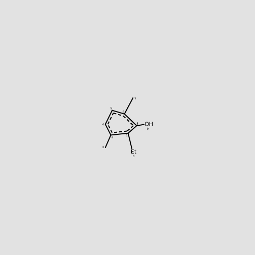 CCc1c(C)ccc(C)c1O